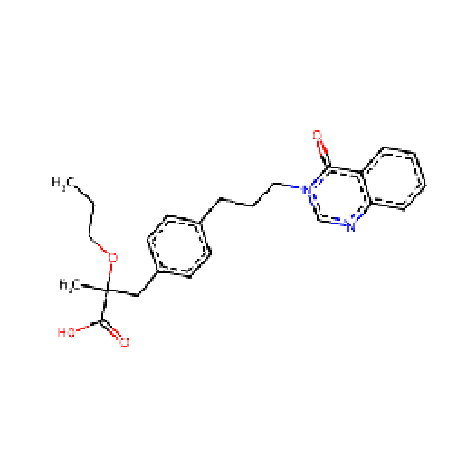 CCCOC(C)(Cc1ccc(CCCn2cnc3ccccc3c2=O)cc1)C(=O)O